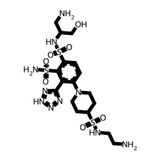 NCCNS(=O)(=O)C1CCN(c2ccc(S(=O)(=O)NC(CN)CO)c(S(N)(=O)=O)c2-c2nn[nH]n2)CC1